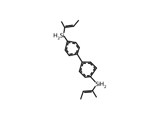 CC=C(C)[SiH2]c1ccc(-c2ccc([SiH2]C(C)=CC)cc2)cc1